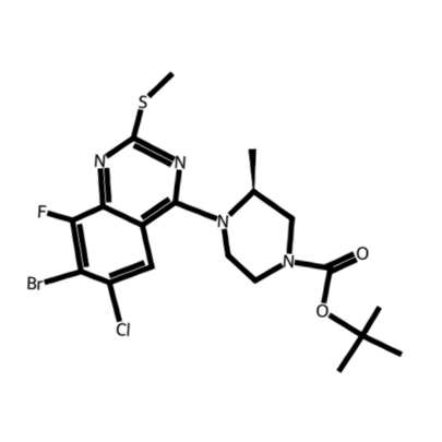 CSc1nc(N2CCN(C(=O)OC(C)(C)C)C[C@@H]2C)c2cc(Cl)c(Br)c(F)c2n1